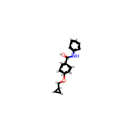 O=C(Nc1c[c]ccc1)c1ccc(OCC2CC2)cc1